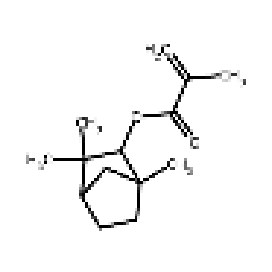 C=C(C)C(=O)OC1C2(C)CCC(C2)C1(C)C